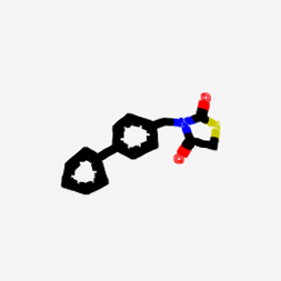 O=C1CSC(=O)N1Cc1ccc(-c2ccccc2)cc1